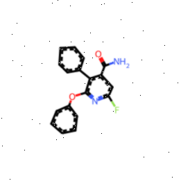 NC(=O)c1cc(F)nc(Oc2ccccc2)c1-c1ccccc1